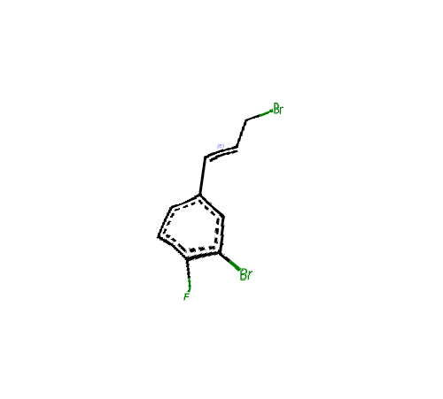 Fc1ccc(/C=C/CBr)cc1Br